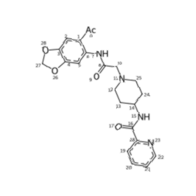 CC(=O)c1cc2c(cc1NC(=O)CN1CCC(NC(=O)c3ccccn3)CC1)OCO2